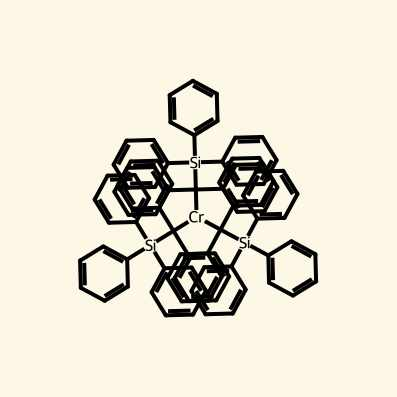 c1ccc([C](c2ccccc2)([Cr]([C](c2ccccc2)(c2ccccc2)[Si](c2ccccc2)(c2ccccc2)c2ccccc2)[C](c2ccccc2)(c2ccccc2)[Si](c2ccccc2)(c2ccccc2)c2ccccc2)[Si](c2ccccc2)(c2ccccc2)c2ccccc2)cc1